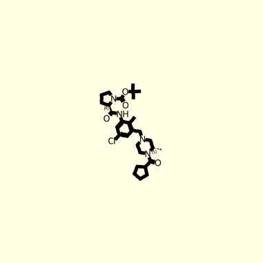 Cc1c(CN2CCN(C(=O)C3CCCC3)[C@@H](C)C2)cc(Cl)cc1NC(=O)[C@H]1CCCN1C(=O)OC(C)(C)C